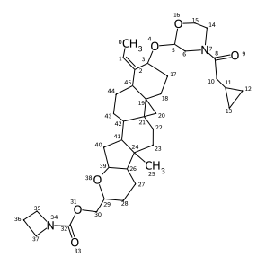 C/C=C1\C(OC2CN(C(=O)CC3CC3)CCO2)CCC23CC24CCC2(C)C5CCC(COC(=O)N6CCC6)OC5CC2C4CCC13